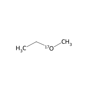 CC[17O]C